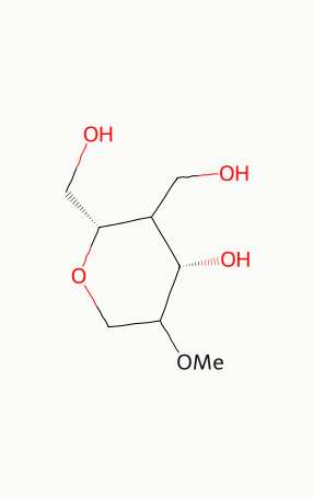 COC1CO[C@H](CO)C(CO)[C@@H]1O